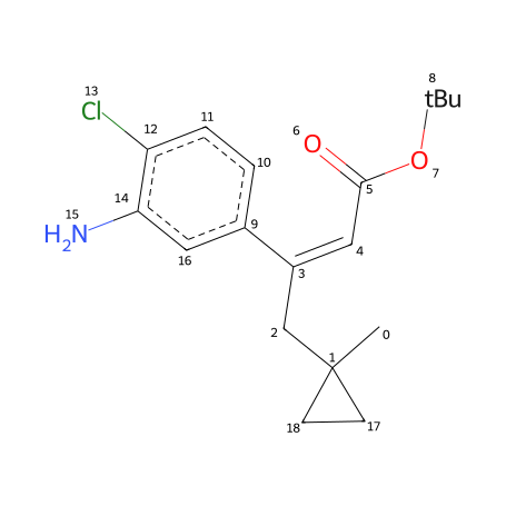 CC1(CC(=CC(=O)OC(C)(C)C)c2ccc(Cl)c(N)c2)CC1